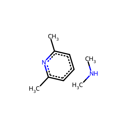 CNC.Cc1cccc(C)n1